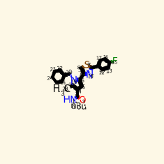 CCCCNC(=O)c1cc(-c2csc(-c3ccc(F)cc3)n2)n(CC2CCCCC2)c1C